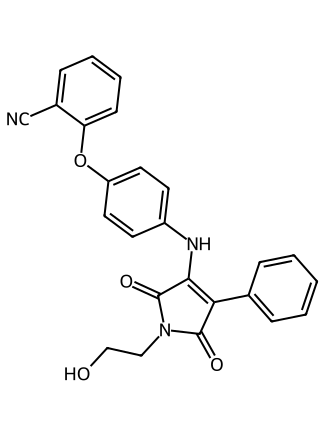 N#Cc1ccccc1Oc1ccc(NC2=C(c3ccccc3)C(=O)N(CCO)C2=O)cc1